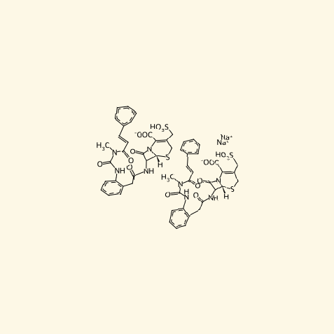 CN(C(=O)/C=C/c1ccccc1)C(=O)Nc1ccccc1CC(=O)NC1C(=O)N2C(C(=O)[O-])=C(CS(=O)(=O)O)CS[C@H]12.CN(C(=O)/C=C/c1ccccc1)C(=O)Nc1ccccc1CC(=O)NC1C(=O)N2C(C(=O)[O-])=C(CS(=O)(=O)O)CS[C@H]12.[Na+].[Na+]